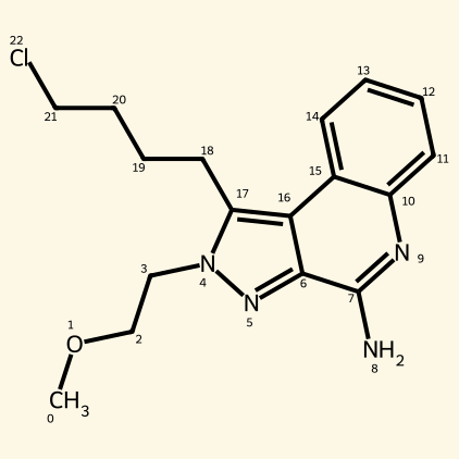 COCCn1nc2c(N)nc3ccccc3c2c1CCCCCl